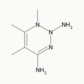 CC1=C(C)N(C)N(N)N=C1N